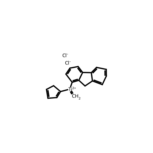 [CH2]=[Ti+2]([C]1=CC=CC1)[c]1cccc2c1Cc1ccccc1-2.[Cl-].[Cl-]